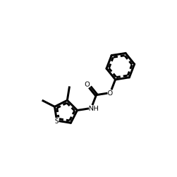 Cc1scc(NC(=O)Oc2ccccc2)c1C